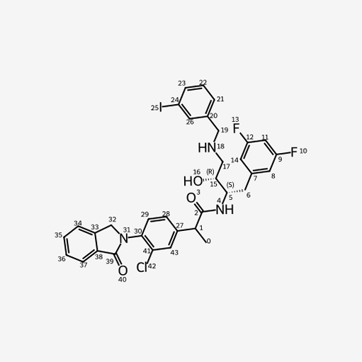 CC(C(=O)N[C@@H](Cc1cc(F)cc(F)c1)[C@H](O)CNCc1cccc(I)c1)c1ccc(N2Cc3ccccc3C2=O)c(Cl)c1